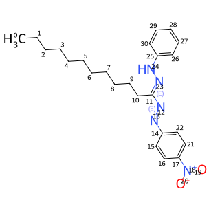 CCCCCCCCCCCC(/N=N/c1ccc([N+](=O)[O-])cc1)=N\Nc1ccccc1